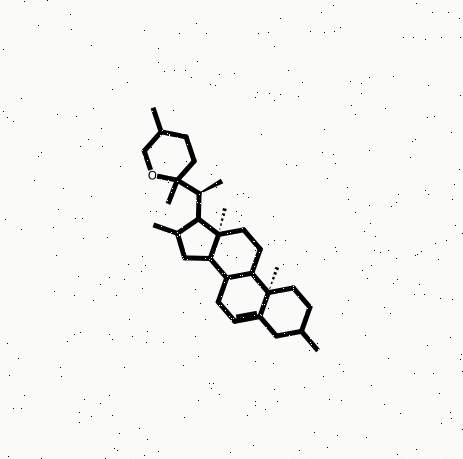 CC1CCC(C)([C@@H](C)C2C(C)CC3C4CC=C5CC(C)CC[C@]5(C)C4CC[C@@]32C)OC1